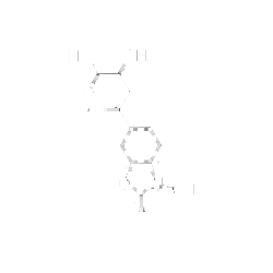 C=C(CC(=O)c1ccc2c(c1)oc(=O)n2C)C(=O)O